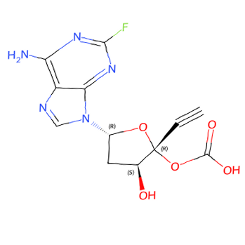 C#C[C@]1(OC(=O)O)O[C@@H](n2cnc3c(N)nc(F)nc32)C[C@@H]1O